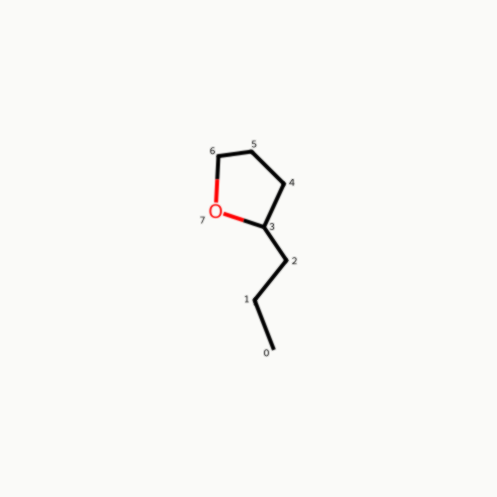 C[CH]CC1CCCO1